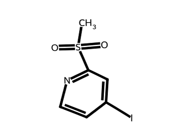 CS(=O)(=O)c1cc(I)ccn1